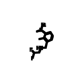 CCN(C)c1cccc(CNCC(F)F)c1C